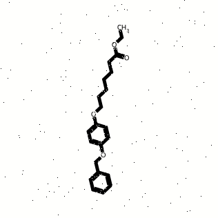 CCOC(=O)CCCCCCOc1ccc(OCc2ccccc2)cc1